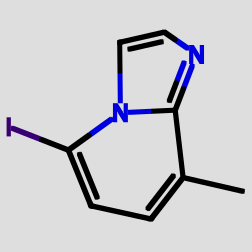 Cc1ccc(I)n2ccnc12